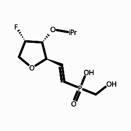 CC(C)O[C@H]1[C@@H](F)CO[C@@H]1/C=C/P(=O)(O)CO